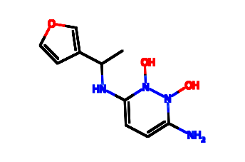 CC(NC1=CC=C(N)N(O)N1O)c1ccoc1